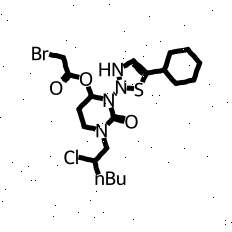 CCCCC(Cl)CN1CCC(OC(=O)CBr)N(N2NC=C(C3CCCCC3)S2)C1=O